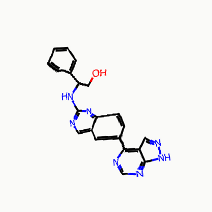 OCC(Nc1ncc2cc(-c3ncnc4[nH]ncc34)ccc2n1)c1ccccc1